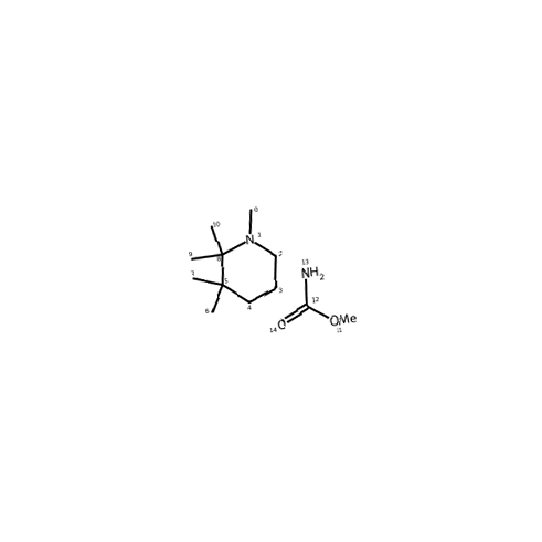 CN1CCCC(C)(C)C1(C)C.COC(N)=O